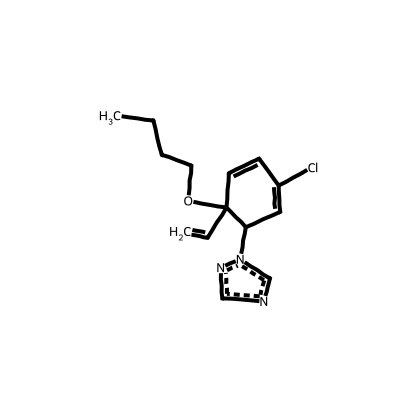 C=CC1(OCCCC)C=CC(Cl)=CC1n1cncn1